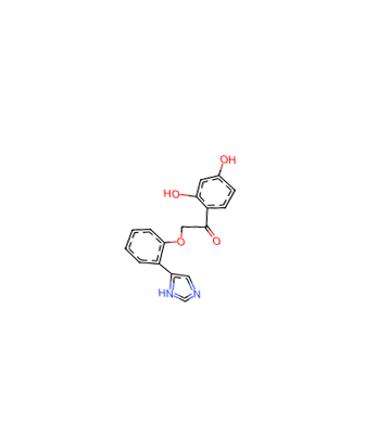 O=C(COc1ccccc1-c1cnc[nH]1)c1ccc(O)cc1O